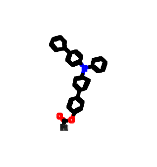 CCC(=O)Oc1ccc(-c2ccc(N(c3ccccc3)c3ccc(-c4ccccc4)cc3)cc2)cc1